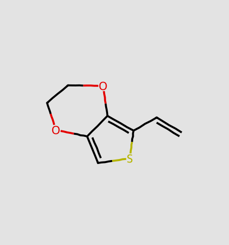 C=Cc1scc2c1OCCO2